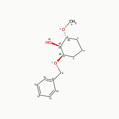 CO[C@@H]1CCC[C@@H](OCc2ccccc2)[C@H]1O